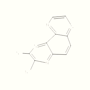 N#Cc1nc2ccc3nccnc3c2nc1C#N